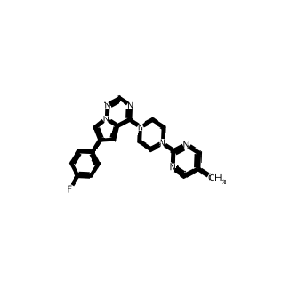 Cc1cnc(N2CCN(c3ncnn4cc(-c5ccc(F)cc5)cc34)CC2)nc1